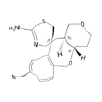 NC1=N[C@@]2(CS1)c1cc(Br)ccc1O[C@H]1CCOC[C@@H]12